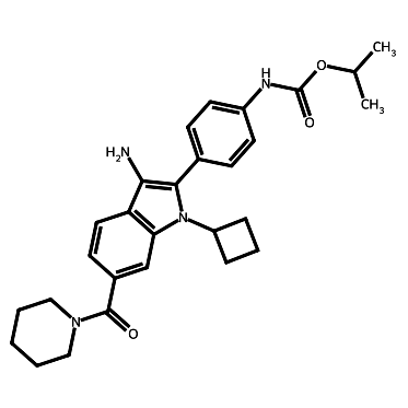 CC(C)OC(=O)Nc1ccc(-c2c(N)c3ccc(C(=O)N4CCCCC4)cc3n2C2CCC2)cc1